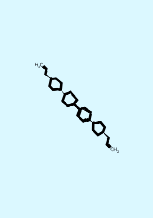 C=CC[C@H]1CC[C@H](c2ccc(C3CCC([C@H]4CC[C@H](CC=C)CC4)CC3)cc2)CC1